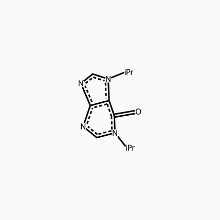 CC(C)n1cnc2ncn(C(C)C)c2c1=O